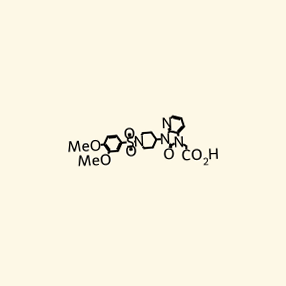 COc1ccc(S(=O)(=O)N2CCC(n3c(=O)n(CC(=O)O)c4cccnc43)CC2)cc1OC